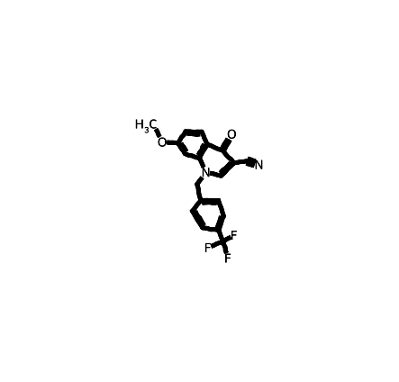 COc1ccc2c(=O)c(C#N)cn(Cc3ccc(C(F)(F)F)cc3)c2c1